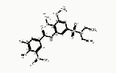 CCN(CC)S(=O)(=O)c1cc(NC(=O)c2cc(Cl)c(O)c([N+](=O)[O-])c2)c(OC)c(OC)c1